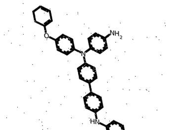 Nc1ccc(Nc2ccc(-c3ccc(N(c4ccc(N)cc4)c4ccc(OC5=CC=CCC5)cc4)cc3)cc2)cc1